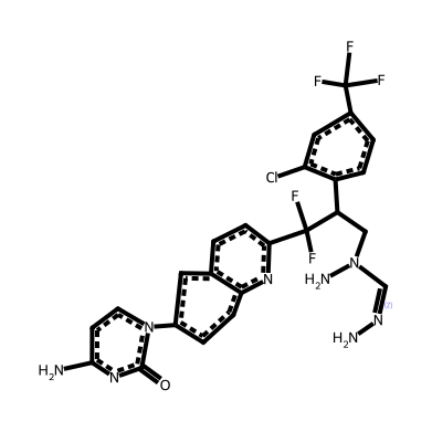 N/N=C\N(N)CC(c1ccc(C(F)(F)F)cc1Cl)C(F)(F)c1ccc2cc(-n3ccc(N)nc3=O)ccc2n1